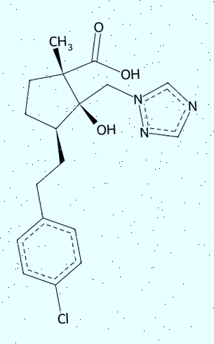 C[C@]1(C(=O)O)CC[C@H](CCc2ccc(Cl)cc2)[C@@]1(O)Cn1cncn1